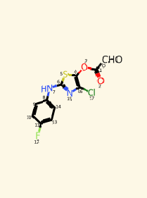 O=CC(=O)Oc1sc(Nc2ccc(F)cc2)nc1Cl